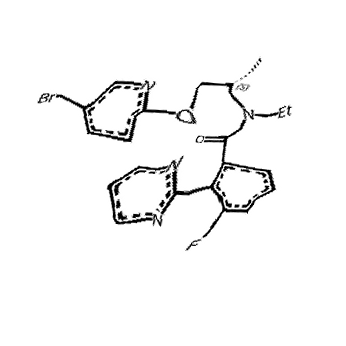 CCN(C(=O)c1cccc(F)c1-c1ncccn1)[C@@H](C)COc1ccc(Br)cn1